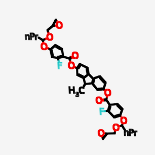 CCCC(OCC1CO1)Oc1ccc(C(=O)Oc2ccc3c(c2)C(C)c2cc(OC(=O)c4ccc(OC(CCC)OCC5CO5)cc4F)ccc2-3)c(F)c1